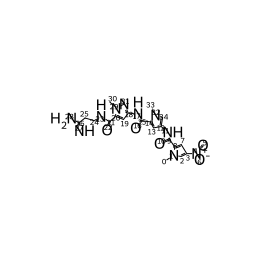 Cn1cc([N+](=O)[O-])cc1C(=O)Nc1cc(C(=O)Nc2cc(C(=O)NCCC(=N)N)n(C)n2)n(C)c1